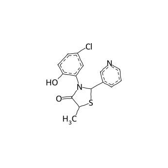 CC1SC(c2cccnc2)N(c2cc(Cl)ccc2O)C1=O